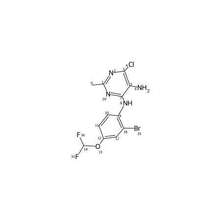 Cc1nc(Cl)c(N)c(Nc2ccc(OC(F)F)cc2Br)n1